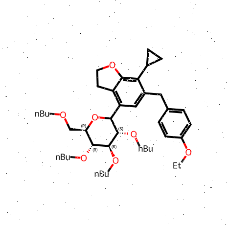 CCCCOC[C@H]1OC(c2cc(Cc3ccc(OCC)cc3)c(C3CC3)c3c2CCO3)[C@H](OCCCC)[C@@H](OCCCC)[C@@H]1OCCCC